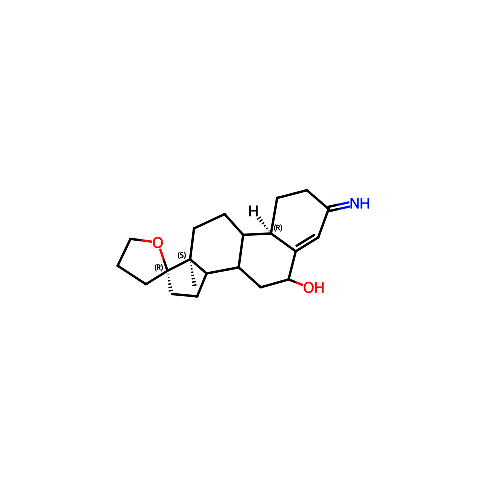 C[C@]12CCC3C(CC(O)C4=CC(=N)CC[C@@H]43)C1CC[C@@]21CCCO1